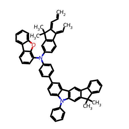 C=C/C=C1\C(=C/C)c2ccc(N(c3ccc(-c4ccc5c(c4)c4cc6c(cc4n5-c4ccccc4)C(C)(C)c4ccccc4-6)cc3)c3cccc4c3oc3ccccc34)cc2C1(C)C